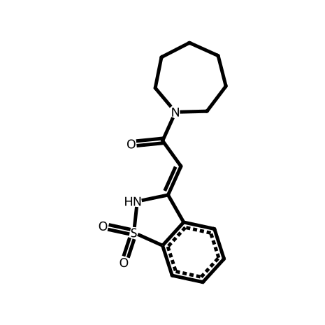 O=C(C=C1NS(=O)(=O)c2ccccc21)N1CCCCCC1